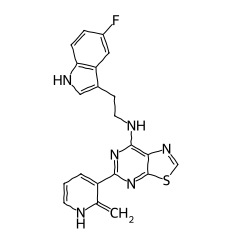 C=C1NC=CC=C1c1nc(NCCc2c[nH]c3ccc(F)cc23)c2ncsc2n1